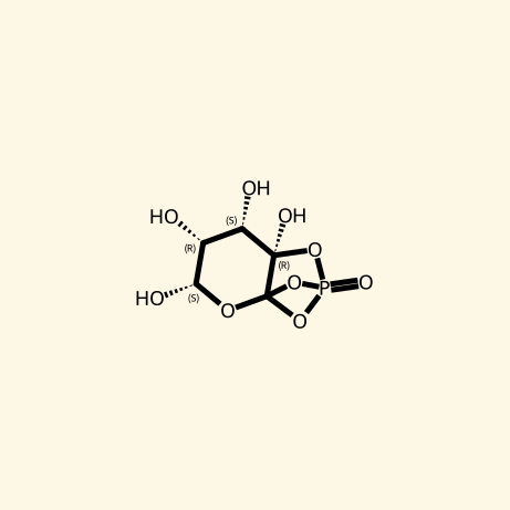 O=P12OC3(O[C@H](O)[C@H](O)[C@H](O)[C@@]3(O)O1)O2